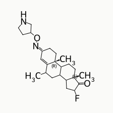 CC1CC2C(CC[C@]3(C)C(=O)C(F)CC23)[C@@]2(C)CCC(=NOC3CCNC3)C=C12